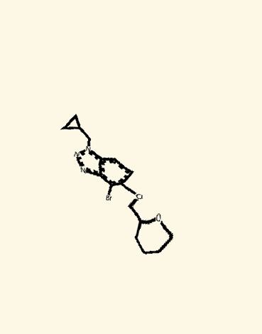 Brc1c(OCC2CCCCO2)ccc2c1nnn2CC1CC1